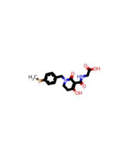 CSc1ccc(CN2CCC(O)=C(C(=O)NCC(=O)O)C2=O)cc1